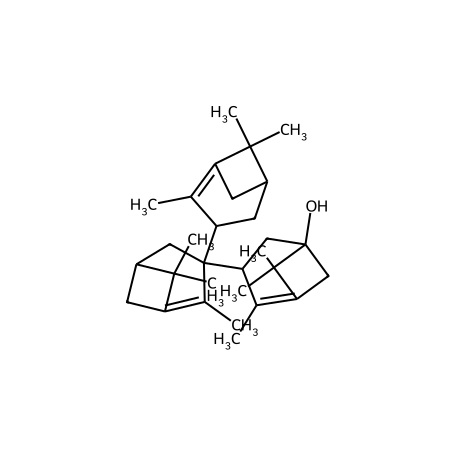 CC1=C2CC(CC1C1(C3CC4(O)CC(=C3C)C4(C)C)CC3CC(=C1C)C3(C)C)C2(C)C